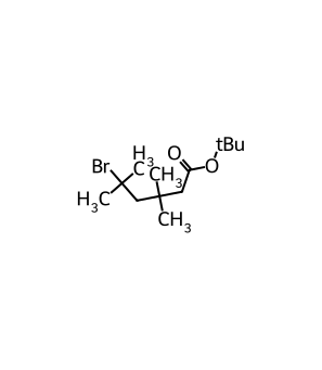 CC(C)(Br)CC(C)(C)CC(=O)OC(C)(C)C